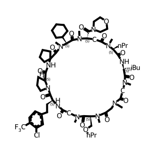 CCCOC[C@H]1C(=O)N(C)CC(=O)N[C@@H](CCc2ccc(C(F)(F)F)c(Cl)c2)C(=O)N2CCC[C@H]2C(=O)NC2(CCCC2)C(=O)N(C)[C@@H](C2CCCCC2)C(=O)N(C)[C@H](C(=O)N2CCOCC2)CC(=O)N(C)[C@@H](CCC)C(=O)N[C@@H]([C@@H](C)CC)C(=O)N(C)CC(=O)N(C)CC(=O)N1C